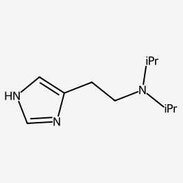 CC(C)N(CCc1c[nH]cn1)C(C)C